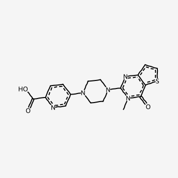 Cn1c(N2CCN(c3ccc(C(=O)O)nc3)CC2)nc2ccsc2c1=O